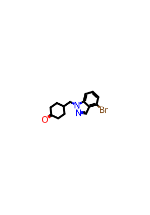 O=C1CCC(Cn2ncc3c(Br)cccc32)CC1